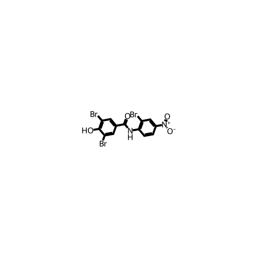 O=C(Nc1ccc([N+](=O)[O-])cc1Br)c1cc(Br)c(O)c(Br)c1